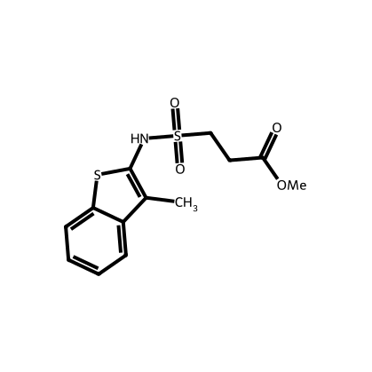 COC(=O)CCS(=O)(=O)Nc1sc2ccccc2c1C